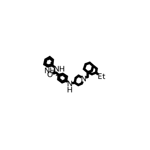 CCC1CC2CCCC(CN3CCC(Nc4ccc(C(=O)Nc5ccccc5N)cc4)CC3)(C1)C2